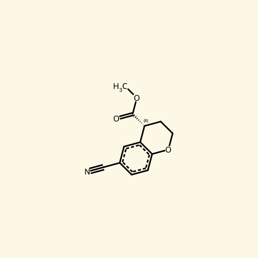 COC(=O)[C@@H]1CCOc2ccc(C#N)cc21